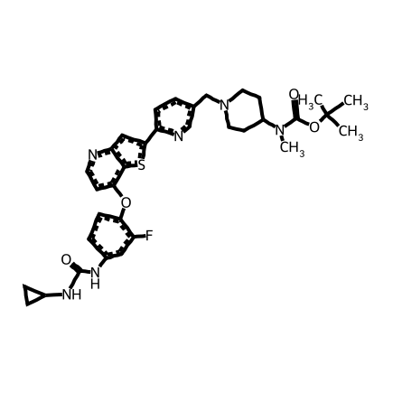 CN(C(=O)OC(C)(C)C)C1CCN(Cc2ccc(-c3cc4nccc(Oc5ccc(NC(=O)NC6CC6)cc5F)c4s3)nc2)CC1